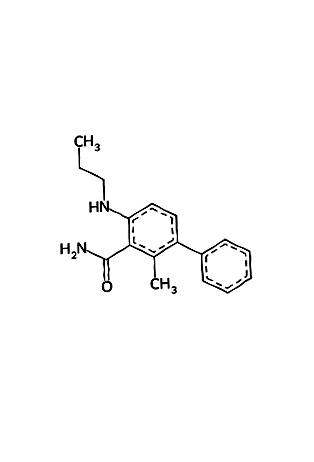 CCCNc1ccc(-c2ccccc2)c(C)c1C(N)=O